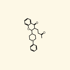 CC(=O)CCC1C(=O)c2ccccc2OC1C1CCN(c2ccccc2)CC1